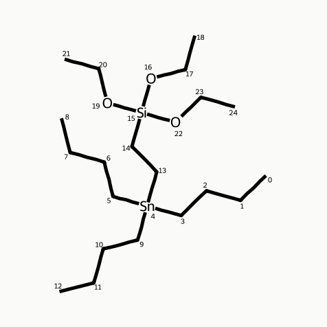 CCC[CH2][Sn]([CH2]CCC)([CH2]CCC)[CH2]C[Si](OCC)(OCC)OCC